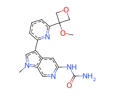 COC1(c2cccc(-c3cn(C)c4cnc(NC(N)=O)cc34)n2)COC1